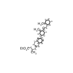 CCOC(=O)CC(C)CN1CCc2nc(-c3ccc(OCc4ccccc4C)c(C)c3)ncc2C1